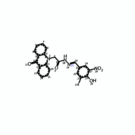 O=C(Cn1c2ccccc2c(=O)c2ccccc21)N/N=C/c1cc(I)c(O)c([N+](=O)[O-])c1